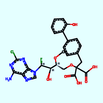 CO[C@H](COC(Cc1ccc(-c2ccccc2O)cc1)(C(=O)O)C(=O)O)[C@@H](O)[C@H](F)n1cnc2c(N)nc(Cl)nc21